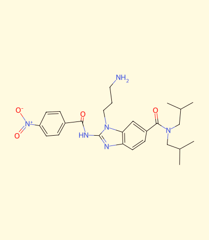 CC(C)CN(CC(C)C)C(=O)c1ccc2nc(NC(=O)c3ccc([N+](=O)[O-])cc3)n(CCCN)c2c1